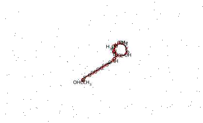 COC1C[C@@H]2CC[C@@H](C)C(O2)C(=O)C(=O)N2CCCCC2C(=O)OC(CCC2CCC(NCCOCCOCCOCCOCCOCCOCCOCCOCCCCSc3ccc(C=O)c(C)c3)CC2)CCC/C=C/C(O)CC(=O)CCC/C=C/C=C/C=C/1C